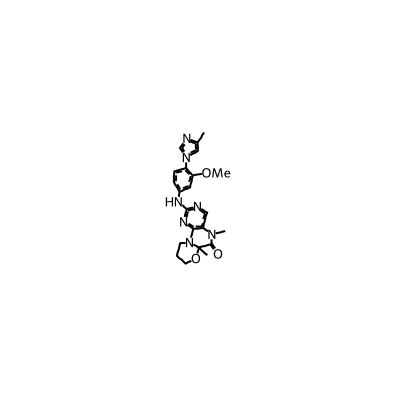 COc1cc(Nc2ncc3c(n2)N2CCCOC2(C)C(=O)N3C)ccc1-n1cnc(C)c1